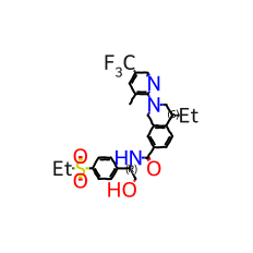 CC[C@@H]1CN(c2ncc(C(F)(F)F)cc2C)Cc2cc(C(=O)N[C@@H](CO)c3ccc(S(=O)(=O)CC)cc3)ccc21